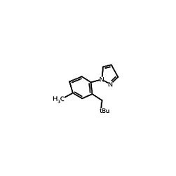 Cc1ccc(-n2cccn2)c(CC(C)(C)C)c1